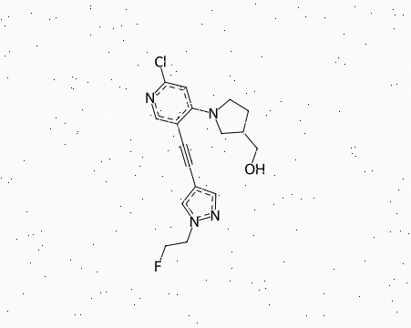 OCC1CCN(c2cc(Cl)ncc2C#Cc2cnn(CCF)c2)C1